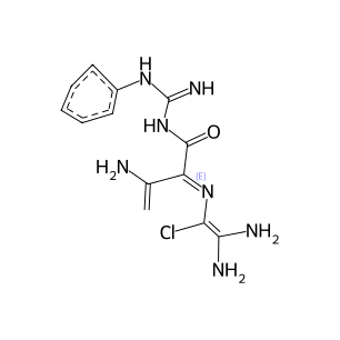 C=C(N)/C(=N\C(Cl)=C(N)N)C(=O)NC(=N)Nc1ccccc1